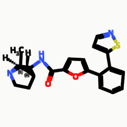 C[C@H]1[C@H](NC(=O)c2ccc(-c3ccccc3-c3ccns3)o2)C2CCN1CC2